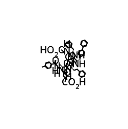 Cc1ccc(C(=O)NC[C@H](NC(=O)CCC(=O)O)C(=O)N[C@H](CCc2ccccc2)C(=O)N[C@@H](Cc2ccc(-c3ccccc3)cc2)C(=O)N[C@H](Cc2ccccc2)C(=O)NCC(=O)O)cc1